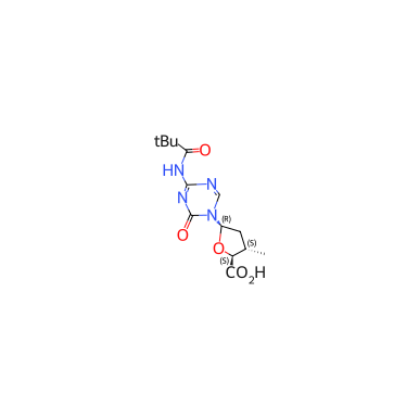 C[C@H]1C[C@H](n2cnc(NC(=O)C(C)(C)C)nc2=O)O[C@@H]1C(=O)O